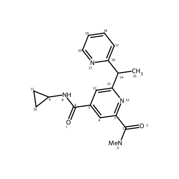 CNC(=O)c1cc(C(=O)NC2CC2)cc(C(C)c2ccccn2)n1